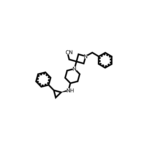 N#CCC1(N2CCC(N[C@H]3CC3c3ccccc3)CC2)CN(Cc2ccccc2)C1